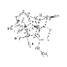 COC12CCC3(CC1C(C)(O)C(C)(C)C)[C@H]1CCC[C@]34c3c(ccc(O)c3OC24)C1